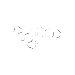 O=NC1=C(C(c2ccccn2)N2CCN(Cc3ccccc3)CC2)CCc2cccnc21